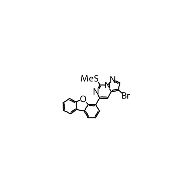 CSc1nc(-c2cccc3c2oc2ccccc23)cc2c(Br)cnn12